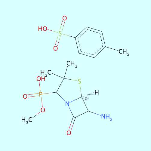 COP(=O)(O)C1N2C(=O)C(N)[C@@H]2SC1(C)C.Cc1ccc(S(=O)(=O)O)cc1